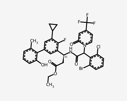 CCOC(=O)C[C@H](NC(=O)C(c1c(Cl)cccc1Br)n1ccc(C(F)(F)F)cc1=O)c1cc(-c2c(C)cccc2O)cc(C2CC2)c1F